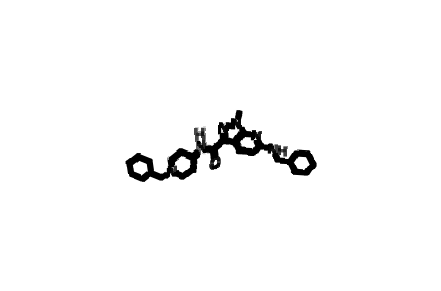 Cn1nc(C(=O)NC2CCN(CC3CCCCC3)CC2)c2ccc(NCC3CCCCC3)nc21